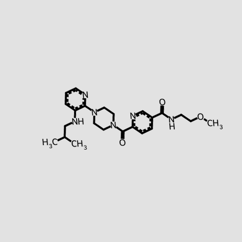 COCCNC(=O)c1ccc(C(=O)N2CCN(c3ncccc3NCC(C)C)CC2)nc1